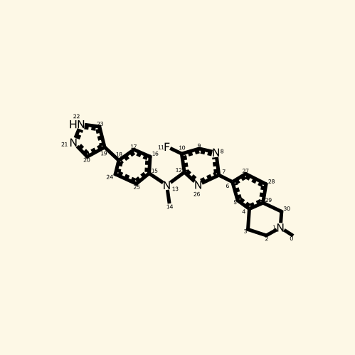 CN1CCc2cc(-c3ncc(F)c(N(C)c4ccc(-c5cn[nH]c5)cc4)n3)ccc2C1